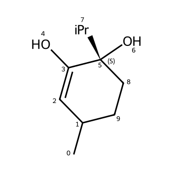 CC1C=C(O)[C@@](O)(C(C)C)CC1